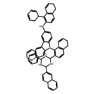 C1=CCCC(C2NC(C3=CC4C=CC=CC4C=C3)NC(c3ccc4c(c3-n3c5ccc(Nc6ccc7c(c6C6C=CC=CC6)C=CCC7)cc5c5cc6ccccc6cc53)C=CCC4)N2)=C1